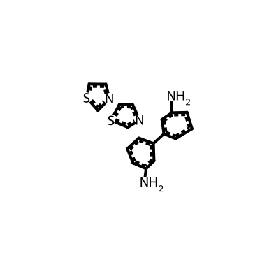 Nc1cccc(-c2cccc(N)c2)c1.c1cscn1.c1cscn1